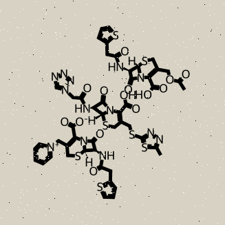 CC(=O)OCC1=C(C(=O)O)N2C(=O)[C@@H](NC(=O)Cc3cccs3)[C@H]2SC1.Cc1nnc(SCC2=C(C(=O)O)N3C(=O)[C@@H](NC(=O)Cn4cnnn4)[C@H]3SC2)s1.O=C(Cc1cccs1)N[C@@H]1C(=O)N2C(C(=O)[O-])=C(C[n+]3ccccc3)CS[C@H]12